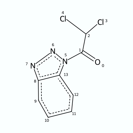 O=C(C(Cl)Cl)n1nnc2ccccc21